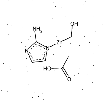 CC(=O)O.Nc1ncc[n]1[Zn][CH2]O